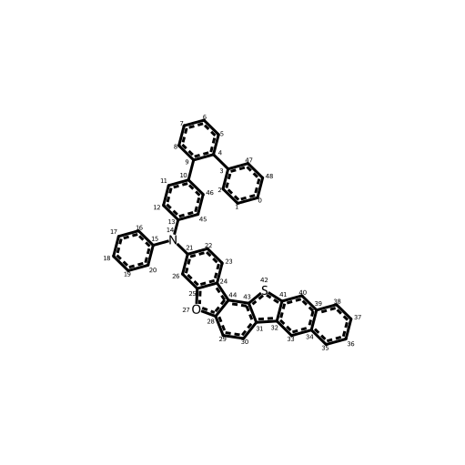 c1ccc(-c2ccccc2-c2ccc(N(c3ccccc3)c3ccc4c(c3)oc3ccc5c6cc7ccccc7cc6sc5c34)cc2)cc1